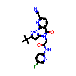 CC(C)(C)c1cc2n(CC(=O)Nc3ccc(F)cn3)c(=O)c3ccc(C#N)nc3n2n1